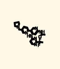 CC(=O)Nc1cc(Nc2ccnc(C(C)(F)F)n2)c(-c2ccc(CN3CCCC3)cn2)cn1